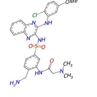 COc1ccc(Cl)c(Nc2nc3ccccc3nc2NS(=O)(=O)c2ccc(CN)c(NC(=O)CN(C)C)c2)c1